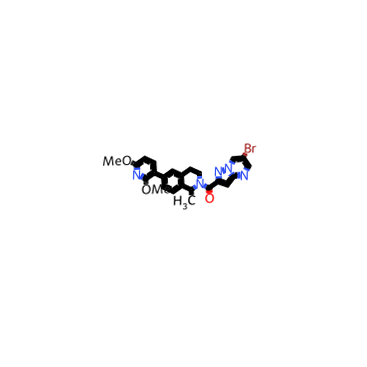 COc1ccc(-c2ccc3c(c2)CCN(C(=O)c2cc4ncc(Br)cn4n2)C3C)c(OC)n1